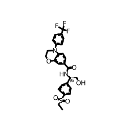 CCS(=O)(=O)c1ccc([C@H](CO)NC(=O)c2ccc3c(c2)OCCN3c2ccc(C(F)(F)F)cc2)cc1